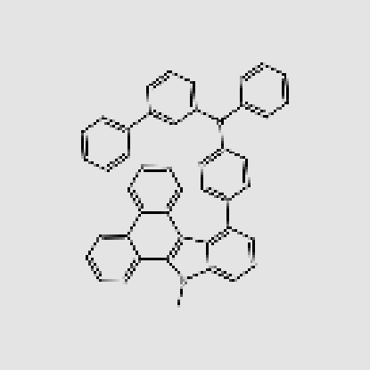 Cn1c2cccc(-c3ccc(N(c4ccccc4)c4cccc(-c5ccccc5)c4)cc3)c2c2c3ccccc3c3ccccc3c21